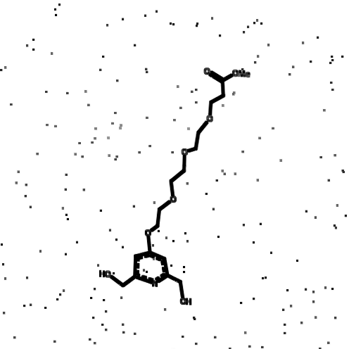 COC(=O)CCOCCOCCOCCOc1cc(CO)nc(CO)c1